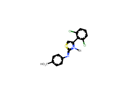 CCn1c(-c2c(Cl)cccc2Cl)csc1=Nc1ccc(C(=O)O)cc1